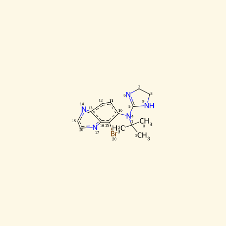 CC(C)(C)N(C1=NCCN1)c1ccc2nccnc2c1Br